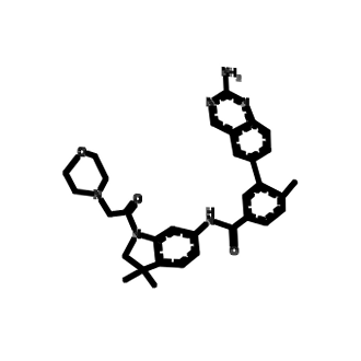 Cc1ccc(C(=O)Nc2ccc3c(c2)N(C(=O)CN2CCOCC2)CC3(C)C)cc1-c1ccc2nc(N)ncc2c1